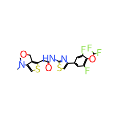 CN1COCc2c1csc2CC(=O)Nc1nc(-c2cc(F)c(OC(F)F)c(F)c2)cs1